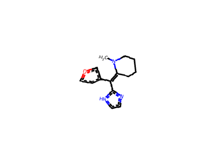 CN1CCCCC1=C(c1ccoc1)c1ncc[nH]1